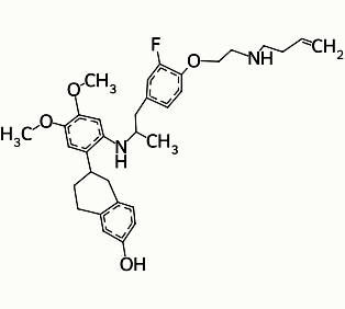 C=CCCNCCOc1ccc(CC(C)Nc2cc(OC)c(OC)cc2C2CCc3cc(O)ccc3C2)cc1F